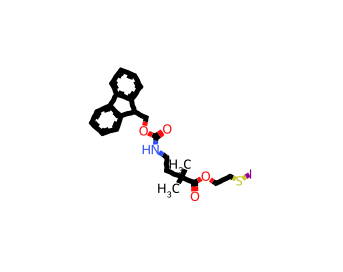 CC(C)(CCNC(=O)OCC1c2ccccc2-c2ccccc21)C(=O)OCCSI